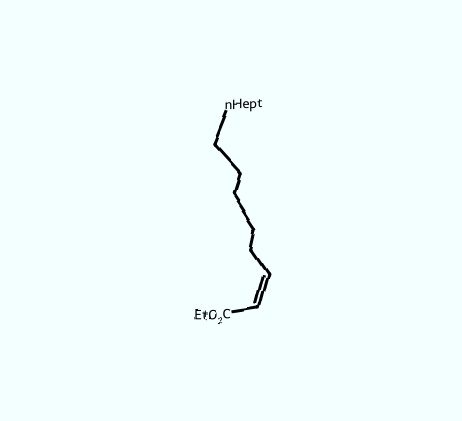 CCCCCCCCCCCC/C=C\C(=O)OCC